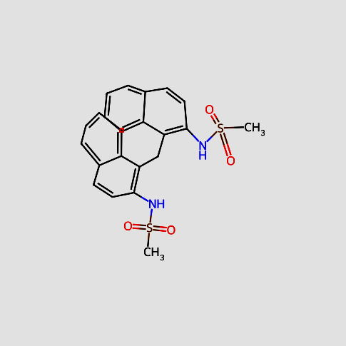 CS(=O)(=O)Nc1ccc2ccccc2c1Cc1c(NS(C)(=O)=O)ccc2ccccc12